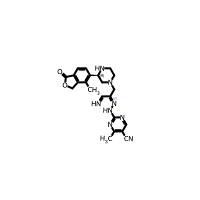 Cc1nc(N/N=C(\C=N)CN2CCN[C@H](c3ccc4c(c3C)COC4=O)C2)ncc1C#N